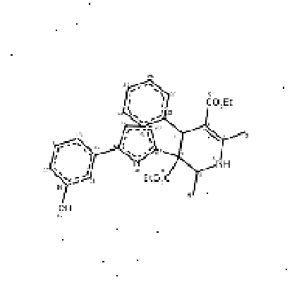 CCOC(=O)C1=C(C)NC(C)C(C(=O)OCC)(c2nc(-c3cccc(O)c3)cs2)C1c1ccccc1